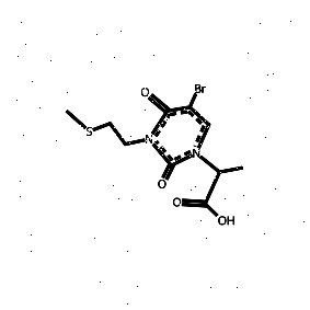 CSCCn1c(=O)c(Br)cn(C(C)C(=O)O)c1=O